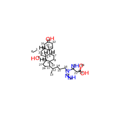 CC[C@H]1[C@@H](O)[C@@H]2[C@H](CC[C@]3(C)[C@@H]([C@H](C)CCCN(N=N)C(=N)CC(=O)O)CC[C@@H]23)[C@@]2(C)CC[C@@H](O)C[C@@H]12